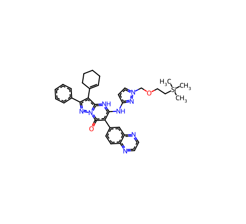 C[Si](C)(C)CCOCn1ccc(Nc2[nH]c3c(C4=CCCCC4)c(-c4ccccc4)nn3c(=O)c2-c2ccc3nccnc3c2)n1